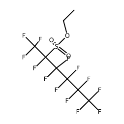 CCOS(=O)(=O)C(F)(C(F)(F)F)C(F)(F)C(F)(F)C(F)(F)C(F)(F)F